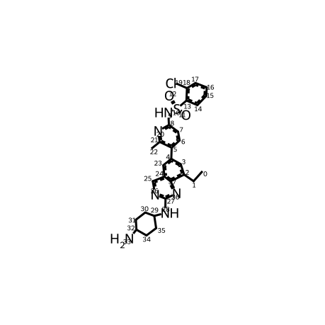 CCc1cc(-c2ccc(NS(=O)(=O)c3ccccc3Cl)nc2C)cc2cnc(NC3CCC(N)CC3)nc12